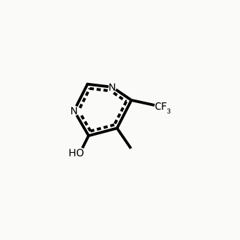 Cc1c(O)ncnc1C(F)(F)F